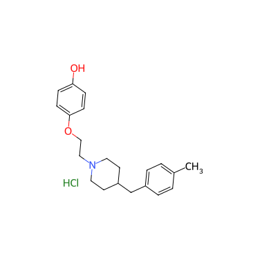 Cc1ccc(CC2CCN(CCOc3ccc(O)cc3)CC2)cc1.Cl